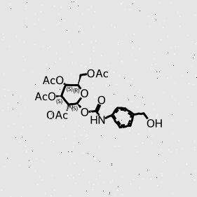 CC(=O)OC[C@H]1O[C@@H](OC(=O)Nc2ccc(CO)cc2)[C@H](OC(C)=O)[C@@H](OC(C)=O)[C@H]1OC(C)=O